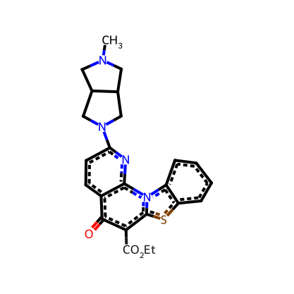 CCOC(=O)c1c(=O)c2ccc(N3CC4CN(C)CC4C3)nc2n2c1sc1ccccc12